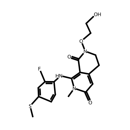 CSc1ccc(Nc2c3c(cc(=O)n2C)CCN(OCCO)C3=O)c(F)c1